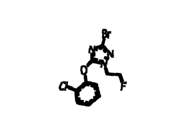 FCCn1nc(Br)nc1Oc1ccccc1Cl